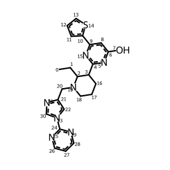 CCC1C(c2nc(O)cc(-c3cccs3)n2)CCCN1Cc1cn(-c2ncccn2)cn1